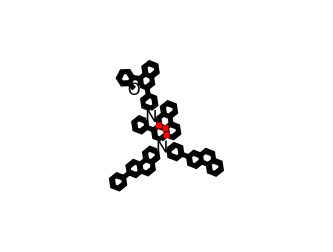 c1ccc(-c2ccc3c(ccc4cc(N(c5ccc(-c6ccc7c(ccc8ccccc87)c6)cc5)c5cccc(-c6ccccc6N(c6ccc(-c7cc8ccccc8c8c7oc7ccccc78)cc6)c6cc7ccccc7c7ccccc67)c5)ccc43)c2)cc1